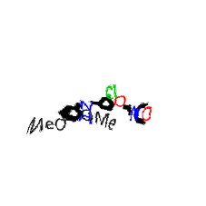 COc1ccc(CNCc2ccc(OCCCN3CCOCC3)c(Cl)c2)c(OC)c1